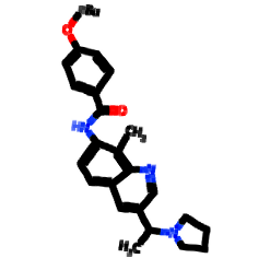 CCCCOc1ccc(C(=O)Nc2ccc3cc(C(C)N4CCCC4)cnc3c2C)cc1